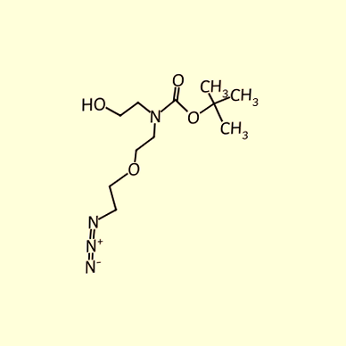 CC(C)(C)OC(=O)N(CCO)CCOCCN=[N+]=[N-]